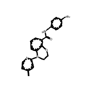 Cc1ccnc(N2CCOc3c(C(=O)Nc4ccc(C(C)(C)C)cc4)cccc32)c1